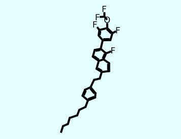 CCCCCCCc1ccc(CCc2ccc3c(F)c(-c4cc(F)c(OC(F)F)c(F)c4)ccc3c2)cc1